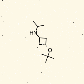 CC(C)N[C@H]1C[C@H](OC(C)(C)C)C1